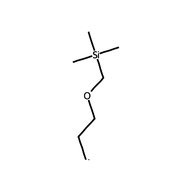 [CH2]CCOC[Si](C)(C)C